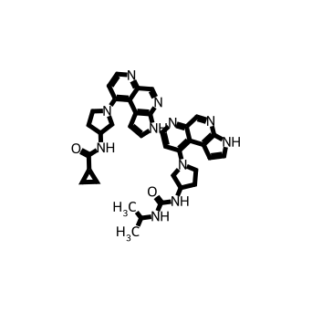 CC(C)NC(=O)NC1CCN(c2ccnc3cnc4[nH]ccc4c23)C1.O=C(NC1CCN(c2ccnc3cnc4[nH]ccc4c23)C1)C1CC1